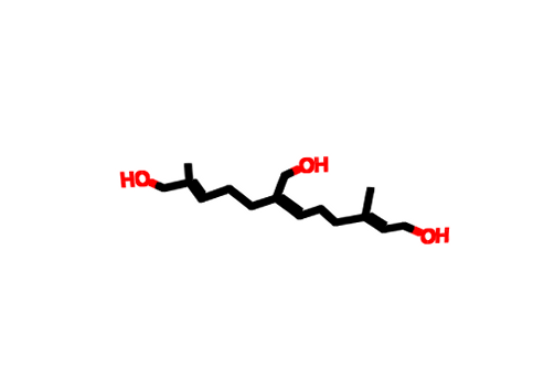 C/C(=C\CC/C(=C/CC/C(C)=C/CO)CO)CO